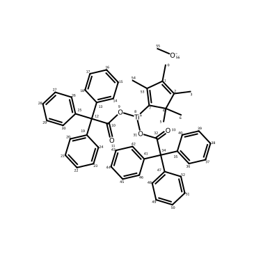 CC1=C(C)C(C)(C)[C]([Ti+]([O]C(=O)C(c2ccccc2)(c2ccccc2)c2ccccc2)[O]C(=O)C(c2ccccc2)(c2ccccc2)c2ccccc2)=C1C.C[O-]